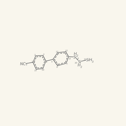 N#Cc1ccc(-c2ccc([SiH2][SiH2][SiH3])cc2)cc1